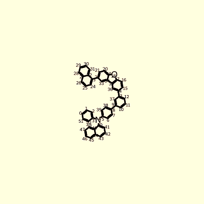 c1ccc(N(c2ccc(-c3cccc(-c4ccc5oc6ccc(-c7cccc8ccccc78)cc6c5c4)c3)cc2)c2cccc3ccccc23)cc1